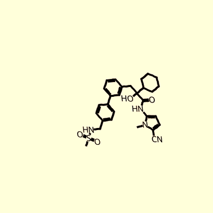 Cn1c(C#N)ccc1NC(=O)C(O)(Cc1cccc(-c2ccc(CNS(C)(=O)=O)cc2)c1)C1CCCCC1